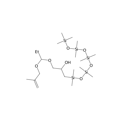 C=C(C)COC(CC)OCC(O)C[Si](C)(C)O[Si](C)(C)O[Si](C)(C)O[Si](C)(C)O[Si](C)(C)C